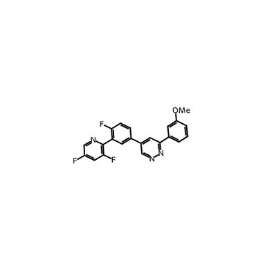 COc1cccc(-c2cc(-c3ccc(F)c(-c4ncc(F)cc4F)c3)cnn2)c1